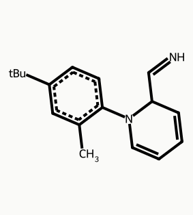 Cc1cc(C(C)(C)C)ccc1N1C=CC=CC1C=N